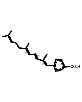 CC(C)=CCC/C(C)=C/C=C/C(C)=C/c1ccc(C(=O)O)cc1